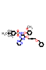 COc1ccccc1Oc1c(NS(=O)(=O)c2ccc(C(C)(C)C)cc2)nc(-c2ncccn2)nc1OCC#CCOCc1ccccc1